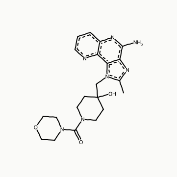 Cc1nc2c(N)nc3cccnc3c2n1CC1(O)CCN(C(=O)N2CCOCC2)CC1